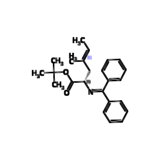 C/C=C(\C)C[C@H](N=C(c1ccccc1)c1ccccc1)C(=O)OC(C)(C)C